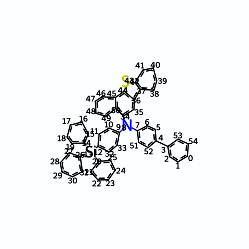 c1ccc(-c2ccc(N(c3ccc([Si](c4ccccc4)(c4ccccc4)c4ccccc4)cc3)c3cc4c5ccccc5sc4c4ccccc34)cc2)cc1